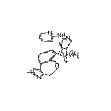 Cn1cc2c(n1)CCOc1c(Nc3nc(Nc4ccccn4)ncc3C(=O)O)cccc1-2